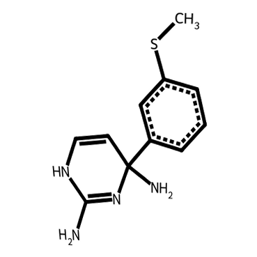 CSc1cccc(C2(N)C=CNC(N)=N2)c1